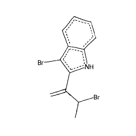 C=C(c1[nH]c2ccccc2c1Br)C(C)Br